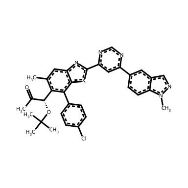 CC(=O)[C@@H](OC(C)(C)C)c1c(C)cc2nc(-c3cc(-c4ccc5c(cnn5C)c4)ncn3)sc2c1-c1ccc(Cl)cc1